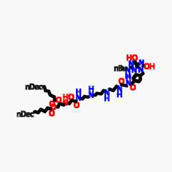 CCCCCCCCCCCCCCCC(=O)OCC(COCC(O)C(=O)NCCCNCCCCNCCCNC(=O)CNC(=O)c1ccc(Cn2c(O)nc3c(O)nc(NCCCC)nc32)cc1)OC(=O)CCCCCCCCCCCCCCC